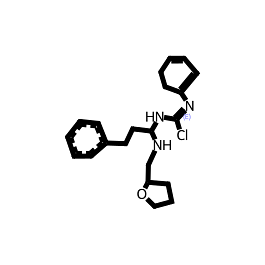 Cl/C(=N/C1=CC=CCC1)NC(CCc1ccccc1)NCC1CCCO1